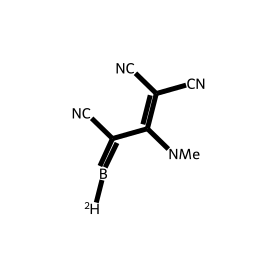 [2H]B=C(C#N)C(NC)=C(C#N)C#N